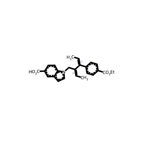 C/C=C(\C(=C/C)Cn1ccc2cc(C(=O)O)ccc21)c1ccc(C(=O)OCC)cc1